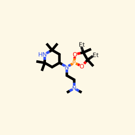 CCC1(C)OP(N(CCN(C)C)C2CC(C)(C)NC(C)(C)C2)OC1(C)CC